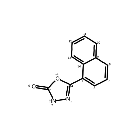 O=c1[nH]nc(-c2cccc3ccccc23)o1